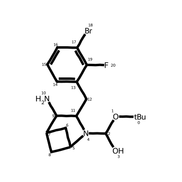 CC(C)(C)OC(O)N1C2CC(C2)C(N)C1Cc1cccc(Br)c1F